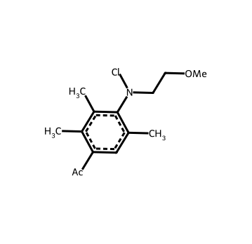 COCCN(Cl)c1c(C)cc(C(C)=O)c(C)c1C